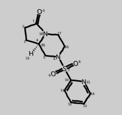 O=C1CC[C@@H]2CN(S(=O)(=O)c3ccccn3)CCN12